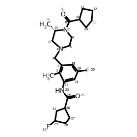 Cc1c(CN2CCN(C(=O)C3CCCC3)[C@@H](C)C2)cc(F)cc1NC(=O)C1CCC(F)C1